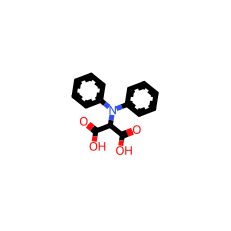 O=C(O)C(C(=O)O)N(c1ccccc1)c1ccccc1